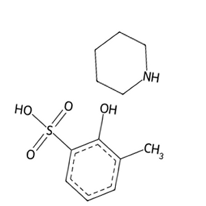 C1CCNCC1.Cc1cccc(S(=O)(=O)O)c1O